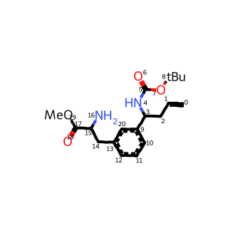 C=CCC(NC(=O)OC(C)(C)C)c1cccc(CC(N)C(=O)OC)c1